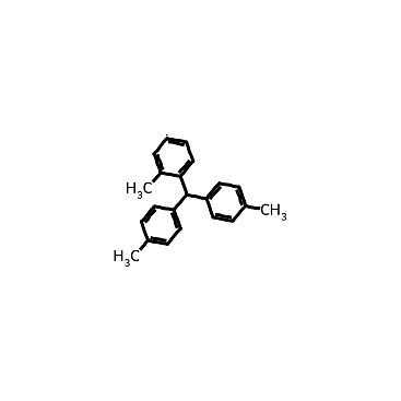 Cc1ccc(C(c2ccc(C)cc2)c2cc[c]cc2C)cc1